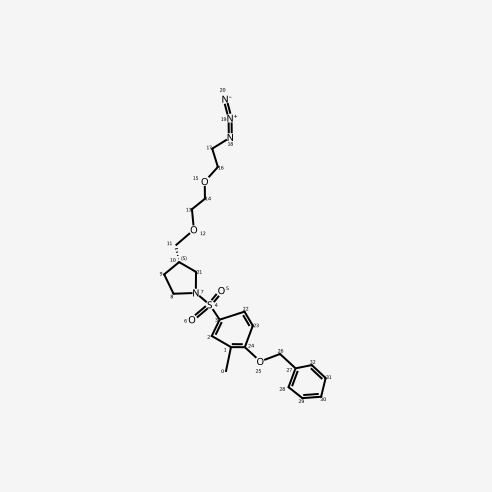 Cc1cc(S(=O)(=O)N2CC[C@H](COCCOCCN=[N+]=[N-])C2)ccc1OCc1ccccc1